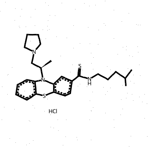 CC(C)CCCNC(=S)c1ccc2c(c1)N([C@H](C)CN1CCCC1)c1ccccc1S2.Cl